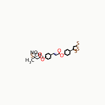 CC(C)(CC(=O)Oc1ccc(/C=C/C(=O)Oc2ccc(-c3cc(=S)ss3)cc2)cc1)SN=O